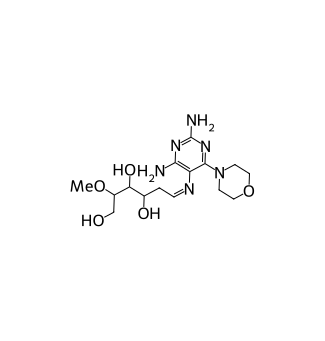 COC(CO)C(O)C(O)C/C=N\c1c(N)nc(N)nc1N1CCOCC1